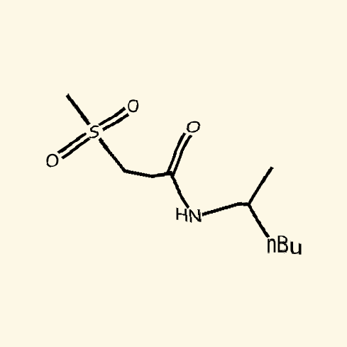 CCCCC(C)NC(=O)CS(C)(=O)=O